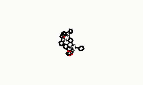 c1ccc(-c2nc(-c3ccccc3)nc(-c3ccc(-n4c5ccccc5c5ccccc54)c(-n4c5ccccc5c5ccccc54)c3-c3cccc4c3oc3ccccc34)n2)cc1